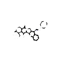 CC[C@@]1(O)C(=O)OCc2c1c(N)c1n(c2=O)Cc2c-1nc1ccccc1c2/C=N/N1CCOCOC1